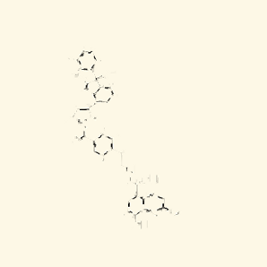 O=C(c1ccc(CCNCC(O)c2ccc(O)c3[nH]c(=O)ccc23)cc1)N1CC=C(c2cccc(C(O)(C(=O)O)c3ccccc3)c2)C1